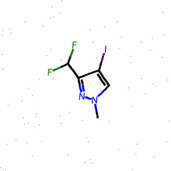 Cn1cc(I)c(C(F)F)n1